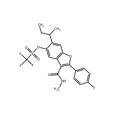 CCC(C)c1cc2oc(-c3ccc(F)cc3)c(C(=O)NC)c2cc1OS(=O)(=O)C(F)(F)F